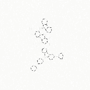 Bc1c(B)c(B)c2c(c1B)c1c(B)c(-c3ccc4c(c3)c3cc(-c5ccccc5)ccc3n4-c3ccc(-c4ccccc4)cc3)c(B)c(B)c1n2-c1cccc2c1oc1ccccc12